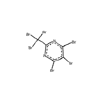 Brc1nc(C(Br)(Br)Br)nc(Br)c1Br